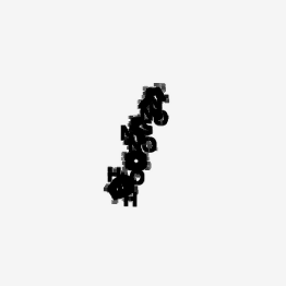 CN1[C@@H]2CC[C@H]1C[C@@H](Oc1ccc(-n3cnc4cc(N5CC6CCCN6C5=O)sc4c3=O)cc1)C2